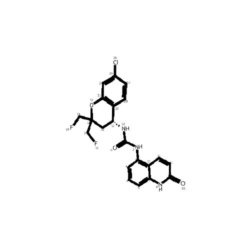 O=C(Nc1cccc2[nH]c(=O)ccc12)N[C@@H]1CC(CF)(CF)Oc2cc(Cl)ccc21